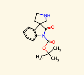 CC(C)(C)OC(=O)N1C(=O)C2(CCNC2)c2ccccc21